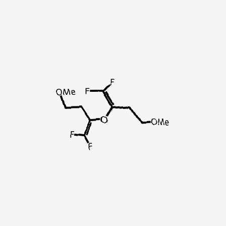 COCCC(OC(CCOC)=C(F)F)=C(F)F